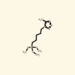 CO[Si](CCCCCn1nnnc1C)(OC)OC